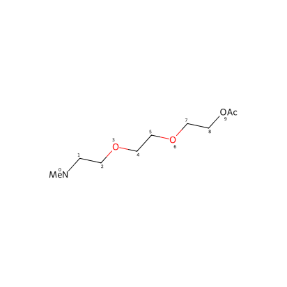 CNCCOCCOCCOC(C)=O